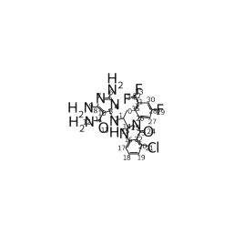 CC(Nc1nc(N)nc(N)c1C(N)=O)c1nc2cccc(Cl)c2c(=O)n1-c1cc(F)cc(C(F)F)c1